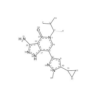 CC(C)[C@H](C)n1cc(-c2cc(C3CC3)n(C)n2)c2[nH]nc(N)c2c1=O